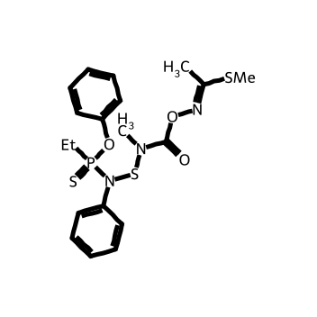 CCP(=S)(Oc1ccccc1)N(SN(C)C(=O)ON=C(C)SC)c1ccccc1